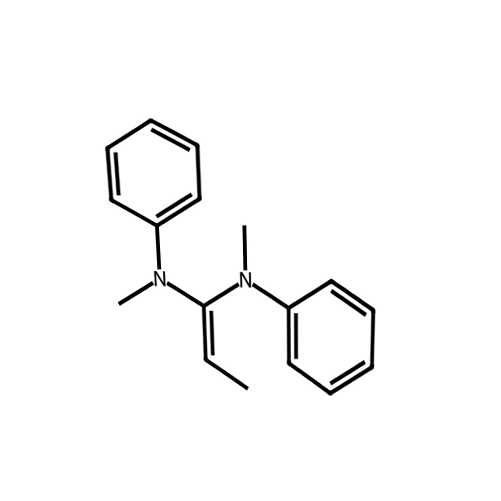 CC=C(N(C)c1ccccc1)N(C)c1ccccc1